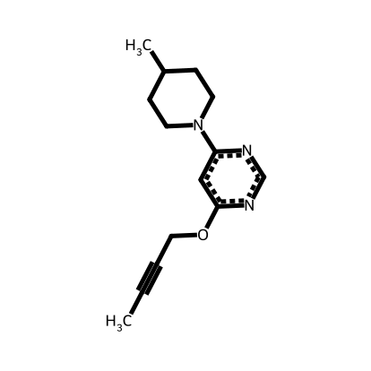 CC#CCOc1cc(N2CCC(C)CC2)ncn1